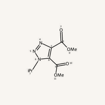 COC(=O)c1nnn(C(C)C)c1C(=O)OC